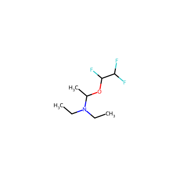 CCN(CC)C(C)OC(F)C(F)F